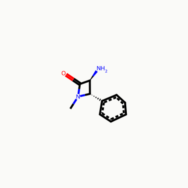 CN1C(=O)[C@@H](N)[C@@H]1c1ccccc1